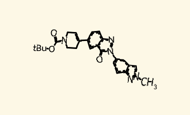 Cn1cc2cc(-n3cnc4ccc(C5=CCN(C(=O)OC(C)(C)C)CC5)cc4c3=O)ccc2n1